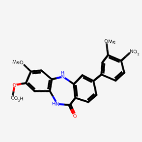 COc1cc2c(cc1OC(=O)O)NC(=O)c1ccc(-c3ccc([N+](=O)[O-])c(OC)c3)cc1N2